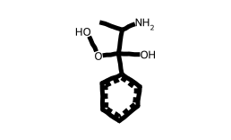 CC(N)C(O)(OO)c1ccccc1